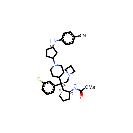 COC(=O)N[C@H]1CCC[C@@H]1[C@](CN1CCC1)(c1cccc(F)c1)C1CCN(C2CC[C@H](Nc3ccc(C#N)cc3)C2)CC1